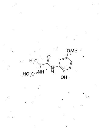 COc1ccc(O)c(NC(=O)C(C)NC(=O)O)c1